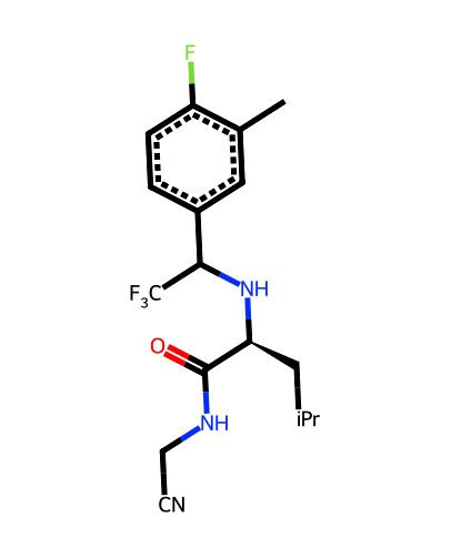 Cc1cc(C(N[C@@H](CC(C)C)C(=O)NCC#N)C(F)(F)F)ccc1F